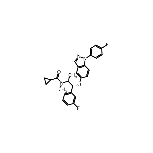 C[C@@H]([C@H](Oc1ccc2c(cnn2-c2ccc(F)cc2)c1)c1cccc(F)c1)N(C)C(=O)C1CC1